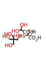 O=C(O)C(O)O.O=C(O)C(S)S.OCC(CO)(CO)CO